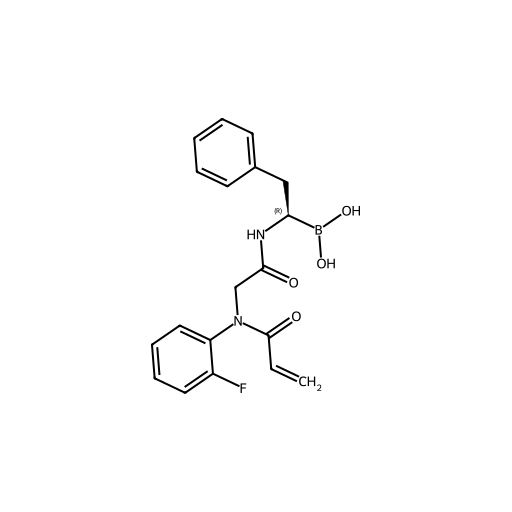 C=CC(=O)N(CC(=O)N[C@@H](Cc1ccccc1)B(O)O)c1ccccc1F